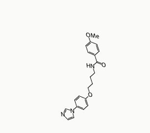 COc1ccc(C(=O)NCCCCOc2ccc(-n3ccnc3)cc2)cc1